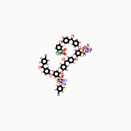 COc1ccc(Oc2ccc(C(=O)c3ccc(Oc4ccc(Oc5ccc(C(=O)c6ccc(Oc7ccc(Oc8ccc(C(=O)c9ccc(C)cc9)cc8)cc7S(=O)(=O)NS(=O)(=O)c7ccc(C)cc7)cc6)cc5)cc4S(=O)(=O)NS(C)(=O)=O)cc3)cc2)cc1S(=O)(=O)Cl